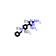 CCc1nc(N)nc(N)c1-c1ccc(N(CC)Cc2ccccc2)c([N+](=O)[O-])c1